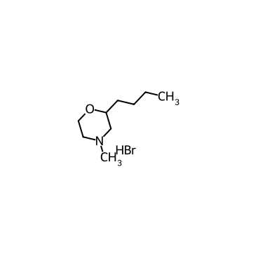 Br.CCCCC1CN(C)CCO1